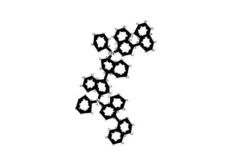 c1ccc(N(c2ccc(-c3cccc4ccccc34)c3ccccc23)c2ccc(-c3ccc(N(c4ccccc4)c4ccc(-c5cccc6ccccc56)c5ccccc45)c4ccccc34)c3ccccc23)cc1